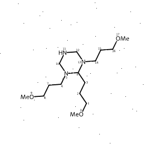 COCCCC1N(CCCOC)CNCN1CCCOC